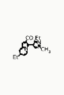 CCOC(=O)c1cc2cc(CC)ccn2c1-c1cnn(C)c1